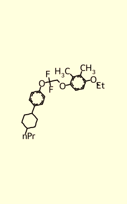 CCCC1CCC(c2ccc(OC(F)(F)COc3ccc(OCC)c(C)c3C)cc2)CC1